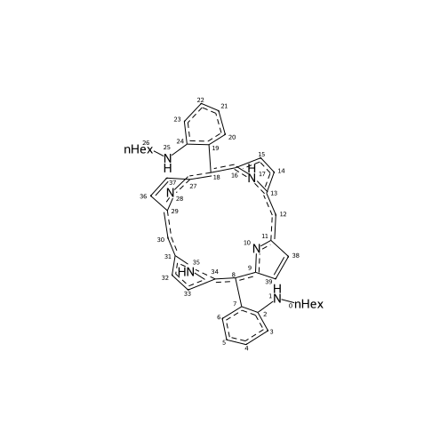 CCCCCCNc1ccccc1-c1c2nc(cc3ccc([nH]3)c(-c3ccccc3NCCCCCC)c3nc(cc4ccc1[nH]4)C=C3)C=C2